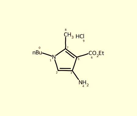 CCCCn1cc(N)c(C(=O)OCC)c1C.Cl